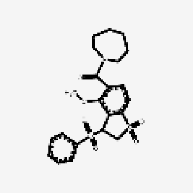 COc1c(C(=O)N2CCCCCC2)ccc2c1C(S(=O)(=O)c1ccccc1)CS2(=O)=O